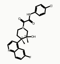 C[C@]1(O)CN(C(=O)C(=O)Nc2ccc(Cl)cc2)CC[C@@]1(C)c1ccnc2ccc(F)cc12